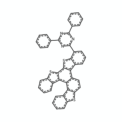 c1ccc(-c2nc(-c3ccccc3)nc(-c3cccc4c3sc3c5sc6ccccc6c5c5c(ccc6sc7ccccc7c65)c43)n2)cc1